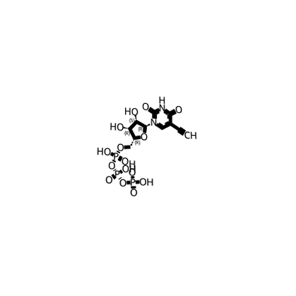 C#Cc1cn([C@@H]2O[C@H](COP(=O)(O)OP(=O)(O)OP(=O)(O)O)[C@H](O)[C@@H]2O)c(=O)[nH]c1=O